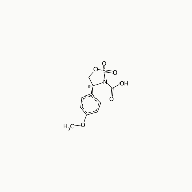 COc1ccc([C@H]2COS(=O)(=O)N2C(=O)O)cc1